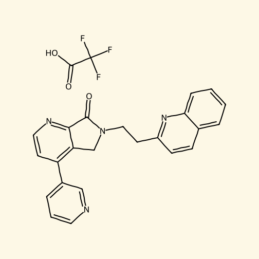 O=C(O)C(F)(F)F.O=C1c2nccc(-c3cccnc3)c2CN1CCc1ccc2ccccc2n1